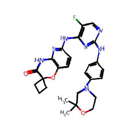 CC1(C)CN(c2ccc(Nc3ncc(F)c(Nc4ccc5c(n4)NC(=O)C4(CCC4)O5)n3)cc2)CCO1